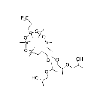 CC(O)COC(C)COCCC[Si](C)(C)O[Si](C)(C)O[Si](C)(CCC(F)(F)F)O[Si](C)(C)O[Si](C)(C)CCCOCC(C)OCC(C)O